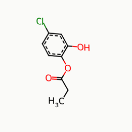 CCC(=O)Oc1ccc(Cl)cc1O